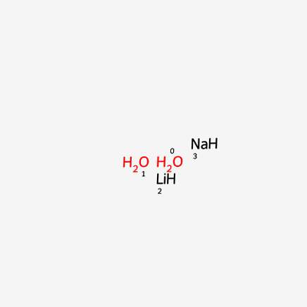 O.O.[LiH].[NaH]